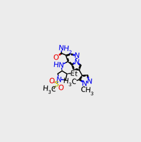 CC[C@H]1CN(S(C)(=O)=O)C[C@H]1Nc1c(C(N)=O)cnn2cc(-c3cnn(C)c3C)cc12